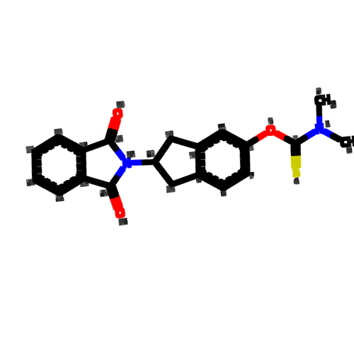 CN(C)C(=S)Oc1ccc2c(c1)CC(N1C(=O)c3ccccc3C1=O)C2